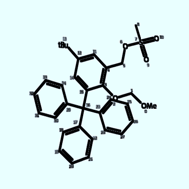 COCOc1c(COS(C)(=O)=O)cc(C(C)(C)C)cc1C(c1ccccc1)(c1ccccc1)c1ccccc1